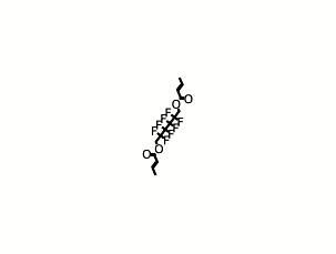 CC=CC(=O)OCC(F)(F)C(F)(F)C(F)(F)C(F)(F)COC(=O)C=CC